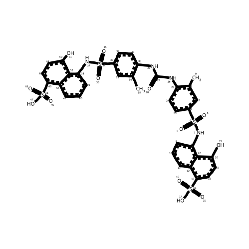 Cc1cc(S(=O)(=O)Nc2cccc3c(S(=O)(=O)O)ccc(O)c23)ccc1NC(=O)Nc1ccc(S(=O)(=O)Nc2cccc3c(S(=O)(=O)O)ccc(O)c23)cc1C